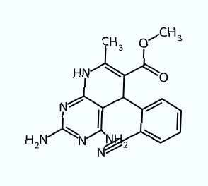 COC(=O)C1=C(C)Nc2nc(N)nc(N)c2C1c1ccccc1C#N